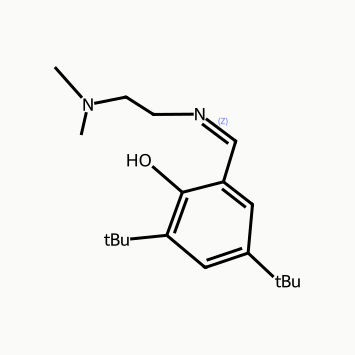 CN(C)CC/N=C\c1cc(C(C)(C)C)cc(C(C)(C)C)c1O